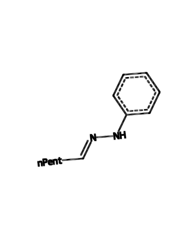 CCCCCC=NNc1ccccc1